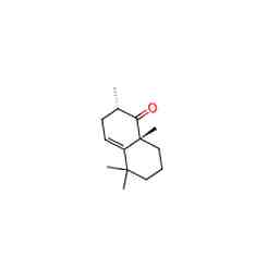 C[C@H]1CC=C2C(C)(C)CCC[C@@]2(C)C1=O